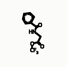 O=C(CNC(=O)c1ccccc1)OC(F)(F)F